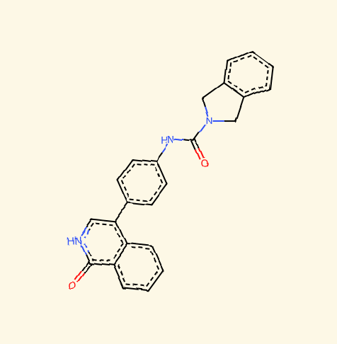 O=C(Nc1ccc(-c2c[nH]c(=O)c3ccccc23)cc1)N1Cc2ccccc2C1